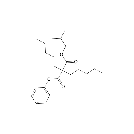 CCCCCC(CCCCC)(C(=O)OCC(C)C)C(=O)Oc1ccccc1